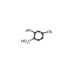 CCCc1cc(C#N)ccc1C(=O)O